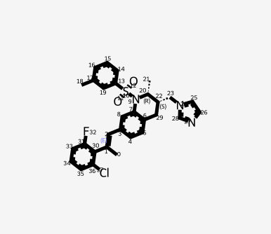 C/C(=C\c1ccc2c(c1)N(S(=O)(=O)c1cccc(C)c1)[C@H](C)[C@H](Cn1ccnc1)C2)c1c(F)cccc1Cl